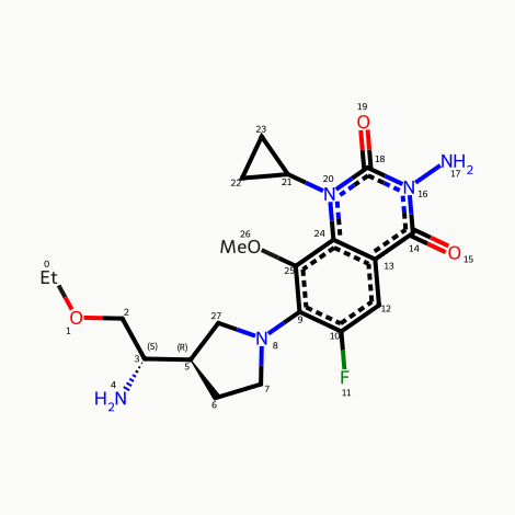 CCOC[C@@H](N)[C@@H]1CCN(c2c(F)cc3c(=O)n(N)c(=O)n(C4CC4)c3c2OC)C1